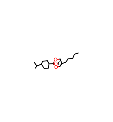 CCCCCC12COC(C3CCC(C(C)C)CC3)(OC1)OC2